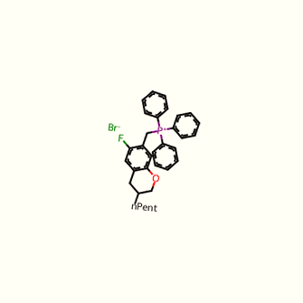 CCCCCC1COc2cc(C[P+](c3ccccc3)(c3ccccc3)c3ccccc3)c(F)cc2C1.[Br-]